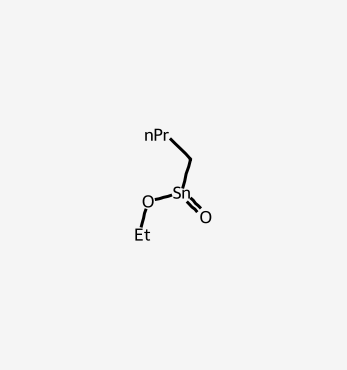 CCC[CH2][Sn](=[O])[O]CC